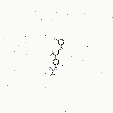 CN(C)C(=O)Oc1ccc(C(CCOc2cccc(F)c2)N(C)C)cc1